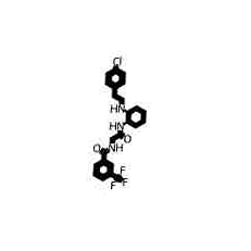 O=C(CNC(=O)c1cccc(C(F)(F)F)c1)N[C@@H]1CCCC[C@@H]1NCCc1ccc(Cl)cc1